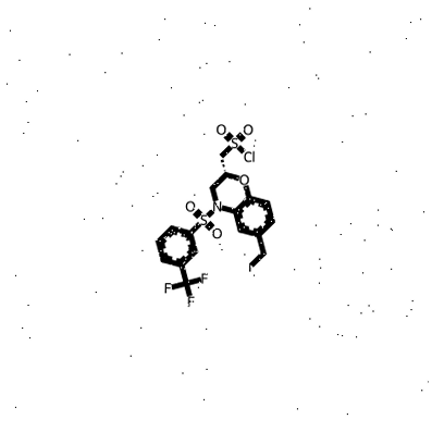 O=S(=O)(Cl)C[C@H]1CN(S(=O)(=O)c2cccc(C(F)(F)F)c2)c2cc(CI)ccc2O1